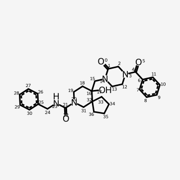 O=C1CN(C(=O)c2ccccc2)CCN1CC1(O)CCN(C(=O)NCc2ccccc2)CC12CCCC2